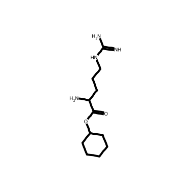 N=C(N)NCCCC(N)C(=O)OC1CCCCC1